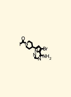 Nc1ncnn2c(C3CCN(C(=O)I)CC3)cc(Br)c12